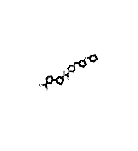 NC(=O)c1cccc(-c2cccc(NC(=O)N3CCN(Cc4cccc(Oc5ccccc5)c4)CC3)c2)c1